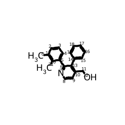 Cc1cccc(-c2nccc(CO)c2-c2ccccc2)c1C